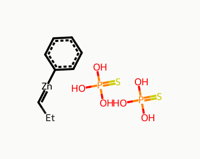 CC[CH]=[Zn][c]1ccccc1.OP(O)(O)=S.OP(O)(O)=S